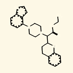 CCNC(=O)C(C1CCc2ccccc2N1)N1CCN(c2cccc3[nH]ccc23)CC1